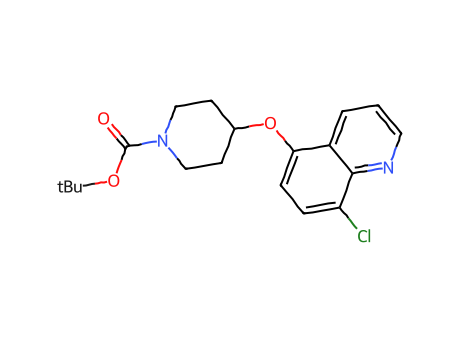 CC(C)(C)OC(=O)N1CCC(Oc2ccc(Cl)c3ncccc23)CC1